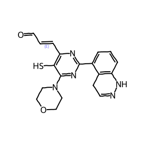 O=C/C=C/c1nc(-c2cccc3c2CC=NN3)nc(N2CCOCC2)c1S